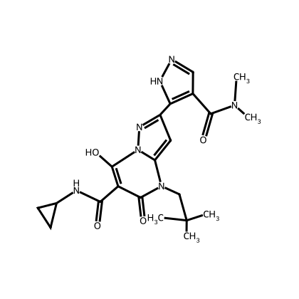 CN(C)C(=O)c1cn[nH]c1-c1cc2n(CC(C)(C)C)c(=O)c(C(=O)NC3CC3)c(O)n2n1